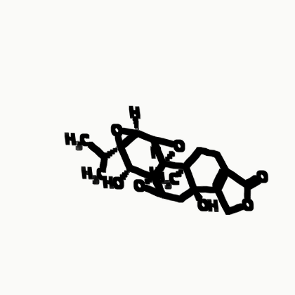 CC(C)[C@]12O[C@H]1[C@@H]1O[C@]13[C@]1(O[C@H]1C[C@@]1(O)C4=C(CC[C@]31C)C(=O)OC4)[C@@H]2O